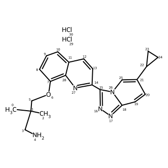 CC(C)(CN)COc1cccc2ccc(-c3nnc4ccc(C5CC5)cn34)nc12.Cl.Cl